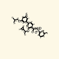 Cc1cccc(S(=O)(=O)NC(=O)c2ccc(-c3cc(F)cc(OCC(C)C)c3)nc2OC(C)C2CC2)n1